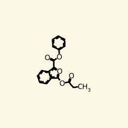 CCC(=O)Oc1oc(C(=O)Oc2ccccc2)c2ccccc12